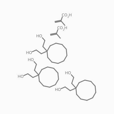 C=C(C)C(=O)O.C=C(C)C(=O)O.OCCC1(CCO)CCCCCCCCC1.OCCC1(CCO)CCCCCCCCC1.OCCC1(CCO)CCCCCCCCC1